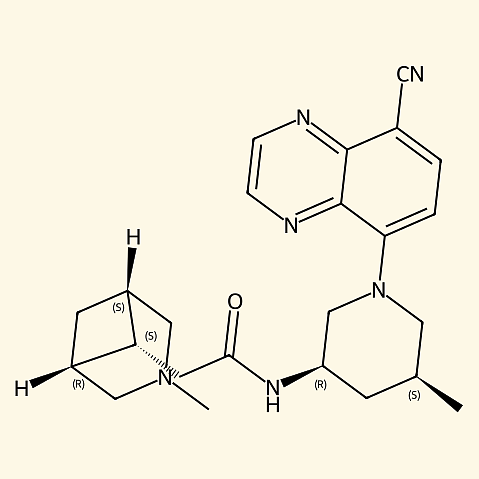 C[C@H]1C[C@@H](NC(=O)C[C@H]2[C@@H]3C[C@H]2CN(C)C3)CN(c2ccc(C#N)c3nccnc23)C1